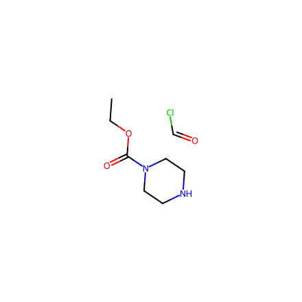 CCOC(=O)N1CCNCC1.O=CCl